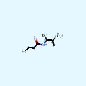 CC/C(NC(=O)CCC#N)=C(/C)C(=O)O